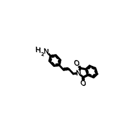 Nc1ccc(/C=C/CN2C(=O)c3ccccc3C2=O)cc1